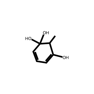 CC1C(O)=CC=CC1(O)O